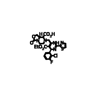 CCOC(=O)C1=C(CN2CCN3C(=O)OC[C@@H]3C2C(=O)O)NC(c2nccs2)=N[C@H]1c1cccc(F)c1Cl